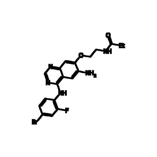 CCC(=O)NCCOc1cc2ncnc(Nc3ccc(Br)cc3F)c2cc1N